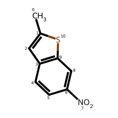 Cc1cc2ccc([N+](=O)[O-])cc2s1